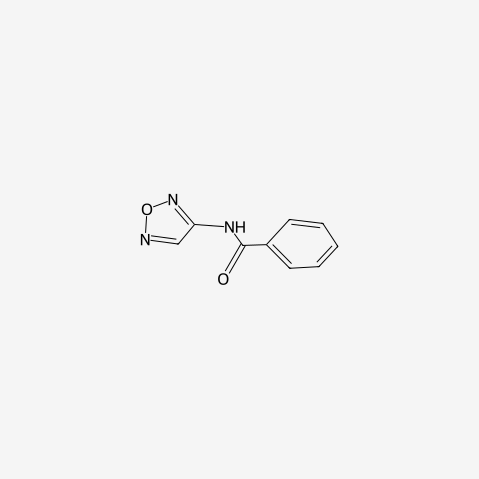 O=C(Nc1cnon1)c1ccccc1